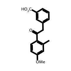 COc1ccc(C(=O)Cc2cccc(C(=O)O)c2)c(C)c1